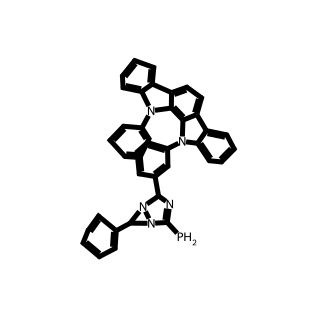 PC1=NC(c2cccc(-n3c4ccccc4c4ccc5c6ccccc6n(-c6ccccc6)c5c43)c2)N2C(c3ccccc3)N12